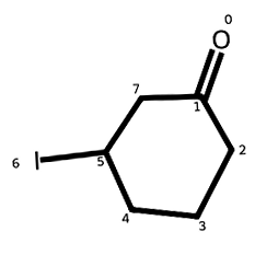 O=C1CCCC(I)C1